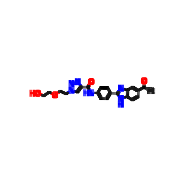 CCC(=O)c1ccc2[nH]c(-c3ccc(NC(=O)c4cn(CCOCCO)nn4)cc3)nc2c1